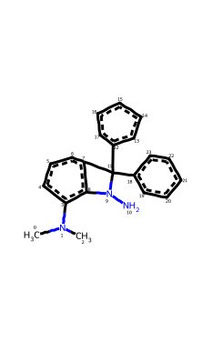 CN(C)c1cccc2c1N(N)C2(c1ccccc1)c1ccccc1